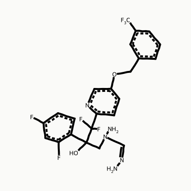 N/N=C\N(N)CC(O)(c1ccc(F)cc1F)C(F)(F)c1ccc(OCc2cccc(C(F)(F)F)c2)cn1